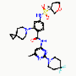 Cc1cc(NC(=O)c2ccc(NS(=O)(=O)[C@H]3CCOC3)cc2N2CCC3(CC2)CC3)nc(N2CCC(F)(F)CC2)n1